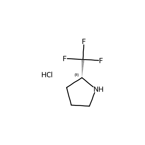 Cl.FC(F)(F)[C@H]1CCCN1